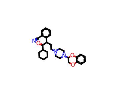 N#Cc1ccccc1C(CCN1CCN(C2COc3ccccc3O2)CC1)C(=O)C1CCCCC1